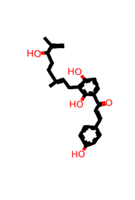 C=C(C)C(O)CC/C(C)=C/Cc1c(O)ccc(C(=O)/C=C/c2ccc(O)cc2)c1O